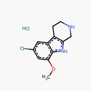 COc1cc(Cl)cc2c3c([nH]c12)CNCC3.Cl